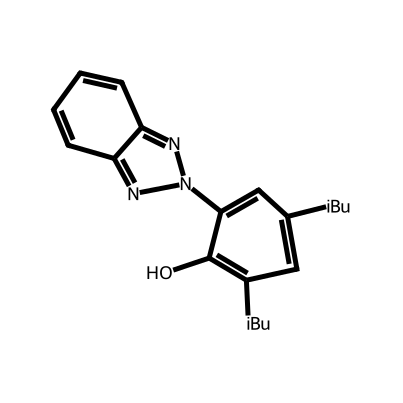 CCC(C)c1cc(C(C)CC)c(O)c(-n2nc3ccccc3n2)c1